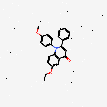 CCOc1ccc2c(c1)c(=O)cc(-c1ccccc1)n2-c1ccc(OC)cc1